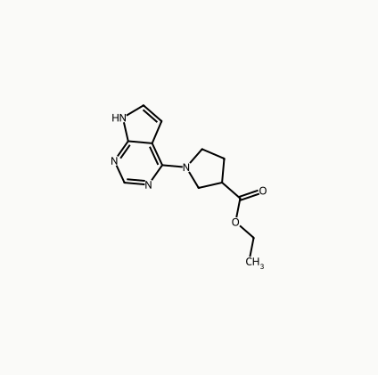 CCOC(=O)C1CCN(c2ncnc3[nH]ccc23)C1